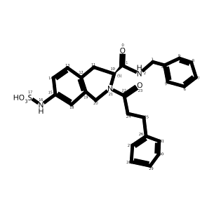 O=C(NCc1ccccc1)[C@@H]1Cc2ccc(NS(=O)(=O)O)cc2CN1C(=O)CCc1ccccc1